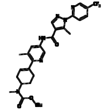 Cc1cc(NC(=O)c2cnn(-c3ccc(C(F)(F)F)cn3)c2C)cnc1C1=CCC(N(C)C(=O)OC(C)(C)C)CC1